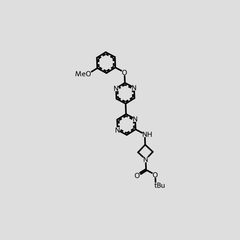 COc1cccc(Oc2ncc(-c3cncc(NC4CN(C(=O)OC(C)(C)C)C4)n3)cn2)c1